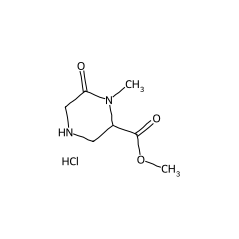 COC(=O)C1CNCC(=O)N1C.Cl